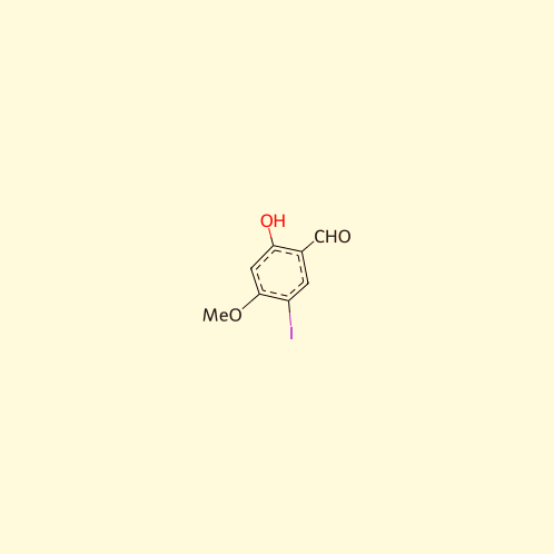 COc1cc(O)c(C=O)cc1I